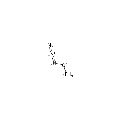 [N-]=[N+]=NOP